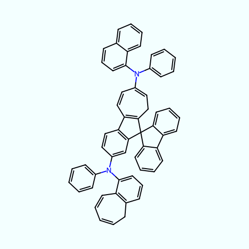 C1=CCc2cccc(N(c3ccccc3)c3ccc4c(c3)C3(C5=C4C=CC(N(c4ccccc4)c4cccc6ccccc46)=CC5)c4ccccc4-c4ccccc43)c2C=C1